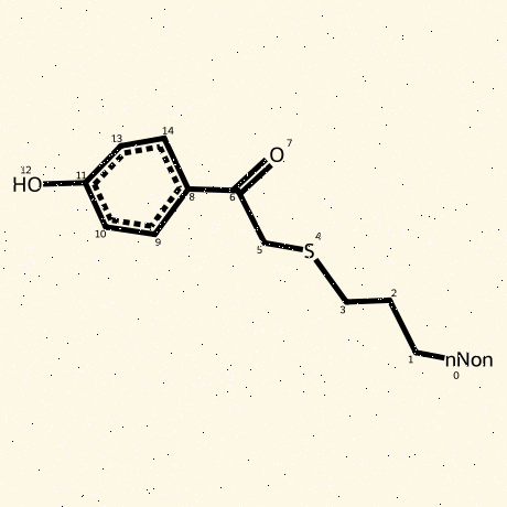 CCCCCCCCCCCCSCC(=O)c1ccc(O)cc1